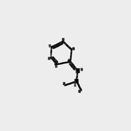 CN(C)N=C1[C]=CC=CC1